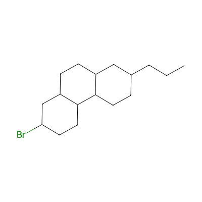 CCCC1CCC2C(CCC3CC(Br)CCC32)C1